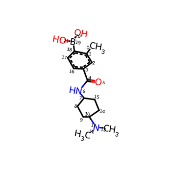 Cc1cc(C(=O)NC2CCC(N(C)C)CC2)ccc1B(O)O